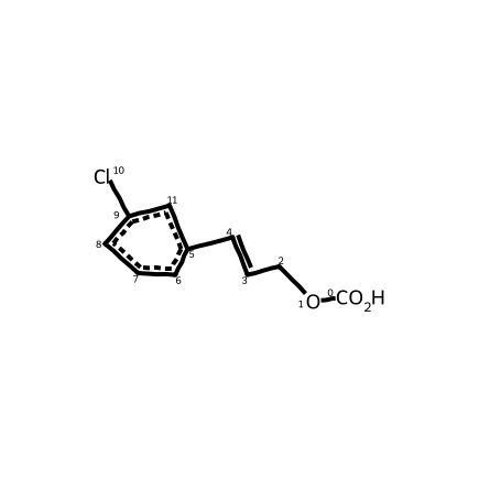 O=C(O)OCC=Cc1cccc(Cl)c1